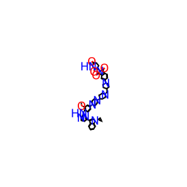 COc1cc(N2CCN(C3CCN(CC4CCN(c5ccc6c(c5)C(=O)N(C5CCC(=O)NC5=O)C6=O)CC4)CC3)CC2)ccc1Nc1nccc(-c2cn(C3CC3)c3ccccc23)n1